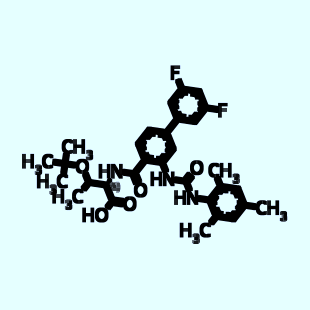 Cc1cc(C)c(NC(=O)Nc2cc(-c3cc(F)cc(F)c3)ccc2C(=O)N[C@H](C(=O)O)C(C)OC(C)(C)C)c(C)c1